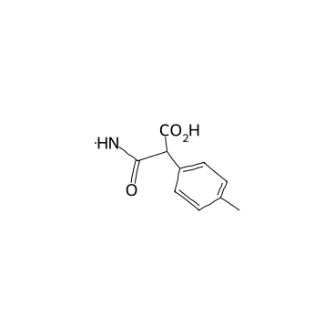 Cc1ccc(C(C([NH])=O)C(=O)O)cc1